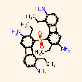 CCc1c(N)ccc2c1-c1c-2cc(N)c(CC)c1S(=O)(=O)c1c(CC)c(N)cc2c1-c1c-2ccc(N)c1CC